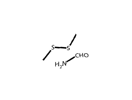 CSSC.NC=O